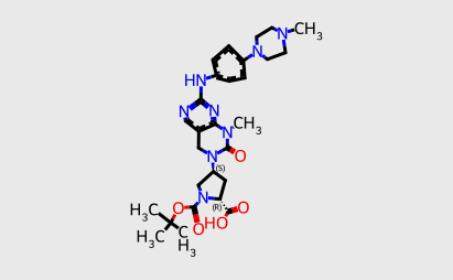 CN1CCN(c2ccc(Nc3ncc4c(n3)N(C)C(=O)N([C@H]3C[C@H](C(=O)O)N(C(=O)OC(C)(C)C)C3)C4)cc2)CC1